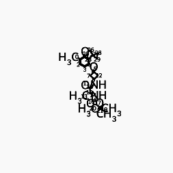 Cc1ccc(OC2CC(NC(=O)[C@H](C)NC(=O)OC(C)(C)C)C2)c2c1OCC21CC1